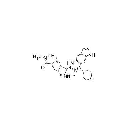 CN(C)C(=O)c1ccc2c(c1)SC1NCN=C(Nc3cc4cn[nH]c4cc3OC3CCOCC3)C21